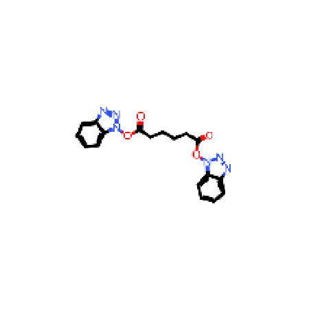 O=C(CCCCC(=O)On1nnc2ccccc21)On1nnc2ccccc21